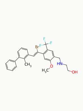 COc1cc(/C(Br)=C/c2cccc(-c3ccccc3)c2C)c(C(F)(F)F)cc1CNCCO